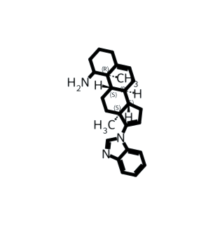 C[C@]12CC[C@H]3[C@@H](CC=C4CCCC(N)[C@@]43C)[C@@H]1CC=C2n1cnc2ccccc21